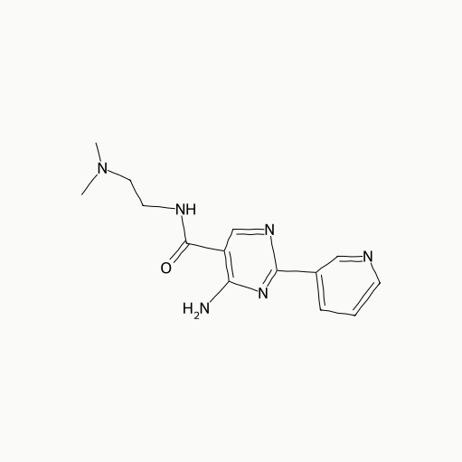 CN(C)CCNC(=O)c1cnc(-c2cccnc2)nc1N